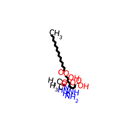 CCCCCCCCCCCCCCCC(=O)OCC(O)C(OCC)C1O[C@H](C(=O)O)CC(NC(=N)N)=C1NC(C)=O